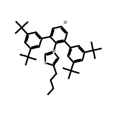 CCCCc1c[n+](-c2c(-c3cc(C(C)(C)C)cc(C(C)(C)C)c3)cccc2-c2cc(C(C)(C)C)cc(C(C)(C)C)c2)cs1.[Cl-]